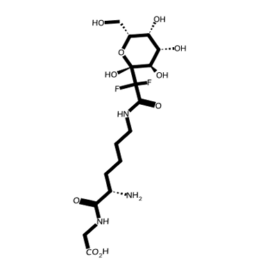 N[C@@H](CCCCNC(=O)C(F)(F)[C@]1(O)O[C@H](CO)[C@H](O)[C@H](O)[C@H]1O)C(=O)NCC(=O)O